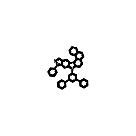 c1ccc(-c2cc(-c3ccccc3)cc(-n3c4cc5c(cnn5-c5ccccc5)cc4c4c5c(ccc6ccccc65)ccc43)c2)cc1